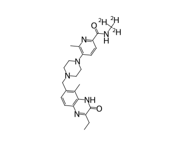 [2H]C([2H])([2H])NC(=O)c1ccc(N2CCN(Cc3ccc4nc(CC)c(=O)[nH]c4c3C)CC2)c(C)n1